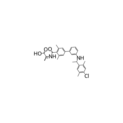 Cc1cc(C(C)Nc2cccc(-c3cc(C)c(C(=O)N[C@@H](C)C(=O)O)c(C)c3)c2)c(C)cc1Cl